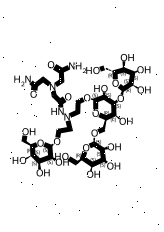 NC(=O)CN(CC(N)=O)CC(=O)NN(CCO[C@H]1O[C@H](CO)[C@@H](O)[C@H](O)[C@@H]1O)CCO[C@H]1O[C@H](CO[C@H]2O[C@H](CO)[C@@H](O)[C@H](O)[C@@H]2O)[C@@H](O)[C@H](O[C@H]2O[C@H](CO)[C@@H](O)[C@H](O)[C@@H]2O)[C@@H]1O